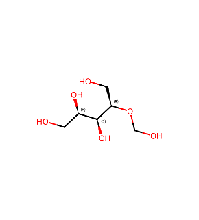 OCO[C@H](CO)[C@@H](O)[C@H](O)CO